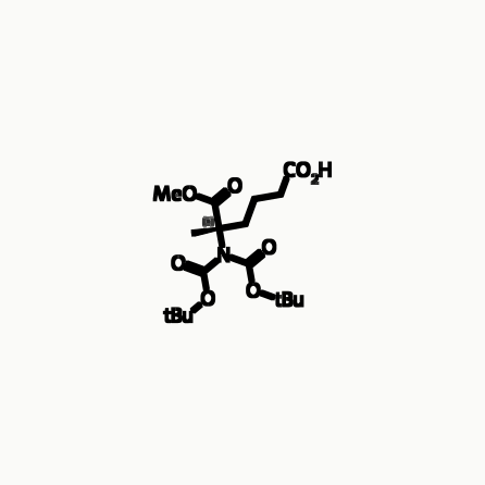 COC(=O)[C@](C)(CCCC(=O)O)N(C(=O)OC(C)(C)C)C(=O)OC(C)(C)C